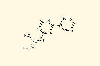 C[C@H](Nc1ccnc(-c2ccccn2)c1)C(=O)O